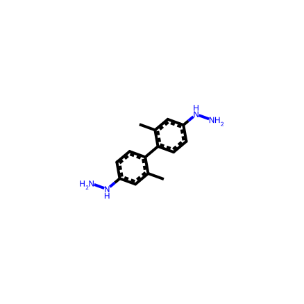 Cc1cc(NN)ccc1-c1ccc(NN)cc1C